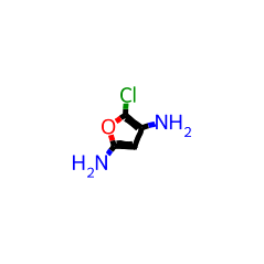 Nc1cc(N)c(Cl)o1